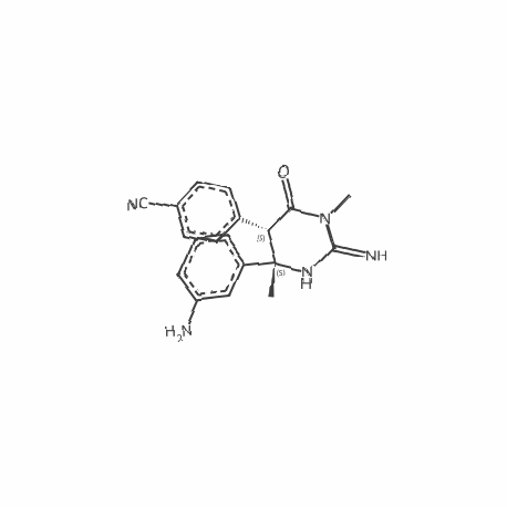 CN1C(=N)N[C@](C)(c2cccc(N)c2)[C@H](c2ccc(C#N)cc2)C1=O